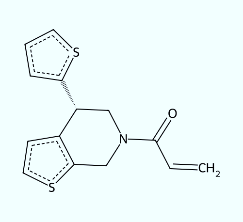 C=CC(=O)N1Cc2sccc2[C@H](c2cccs2)C1